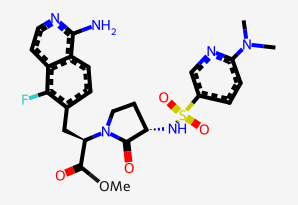 COC(=O)[C@@H](Cc1ccc2c(N)nccc2c1F)N1CC[C@H](NS(=O)(=O)c2ccc(N(C)C)nc2)C1=O